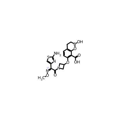 CO/N=C(\C(=O)N1CC(Oc2ccc3c(c2C(=O)O)OB(O)CC3)C1)c1csc(N)n1